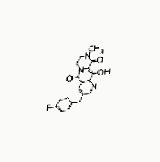 CN1CCN2C(=O)C3C=C(Cc4ccc(F)cc4)C=NC3C(O)=C2C1=O